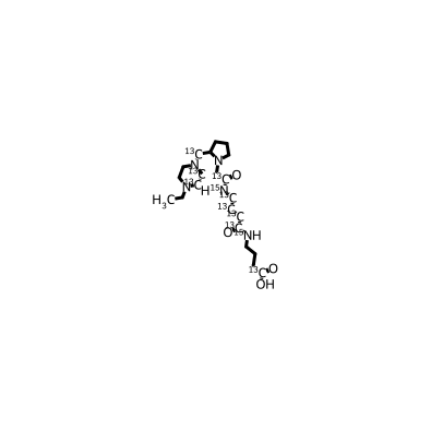 CCN1CCN([13CH2]C2CCCN2C[13C](=O)[15NH][13CH2][13CH2][13CH2][13C](=O)[15NH]CCC[13C](=O)O)[13CH2][13CH2]1